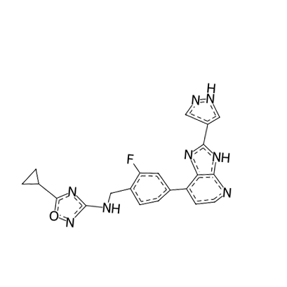 Fc1cc(-c2ccnc3[nH]c(-c4cn[nH]c4)nc23)ccc1CNc1noc(C2CC2)n1